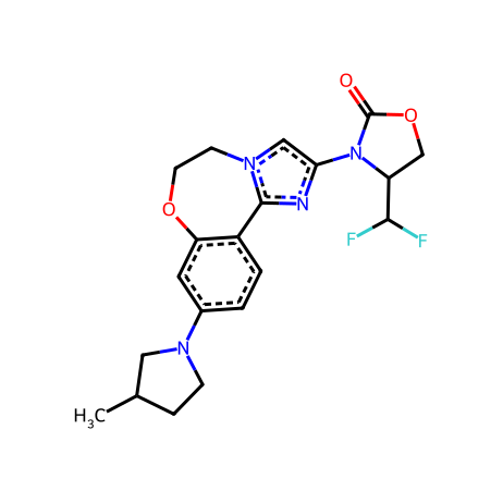 CC1CCN(c2ccc3c(c2)OCCn2cc(N4C(=O)OCC4C(F)F)nc2-3)C1